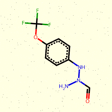 NN(C=O)Nc1ccc(OC(F)(F)F)cc1